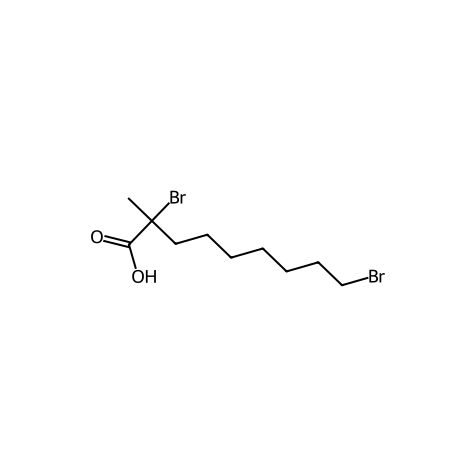 CC(Br)(CCCCCCCBr)C(=O)O